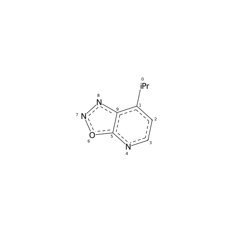 CC(C)c1ccnc2onnc12